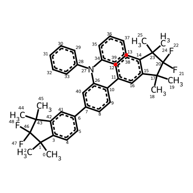 CC1(C)c2ccc(-c3ccc(-c4ccc5c(c4)C(C)(C)C(F)(F)C5(C)C)c(N(c4ccccc4)c4ccccc4)c3)cc2C(C)(C)C1(F)F